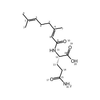 CC(C)=CCCC(C)=CC(=O)N[C@@H](CCC(N)=O)C(=O)O